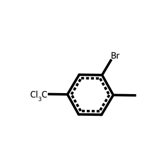 Cc1ccc(C(Cl)(Cl)Cl)cc1Br